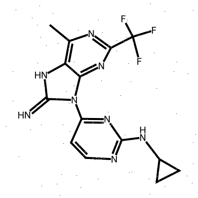 Cc1nc(C(F)(F)F)nc2c1[nH]c(=N)n2-c1ccnc(NC2CC2)n1